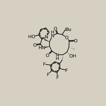 CCC(C)C1OC(=O)[C@H](C)[C@H](O)[C@H](Cc2cc(F)c(F)c(F)c2F)NC(=O)[C@@H](NC(=O)c2ncccc2O)[C@@H](C)NC1=O